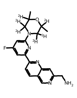 [2H]C1(C)OC([2H])(C)C([2H])([2H])N(c2cc(F)cc(-c3ccc4cnc(CN)cc4n3)n2)C1([2H])[2H]